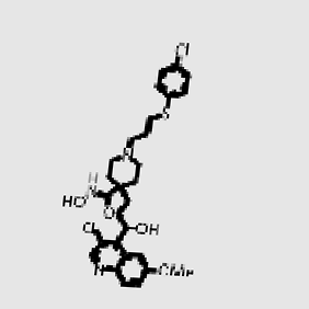 COc1ccc2ncc(Cl)c([C@H](O)CCC3(C(=O)NO)CCN(CCCSc4ccc(Cl)cc4)CC3)c2c1